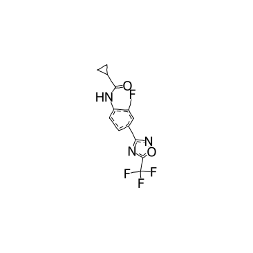 O=C(Nc1ccc(-c2noc(C(F)(F)F)n2)cc1F)C1CC1